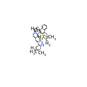 Cc1c2c(c(CC(C)(C)C)c3ccccc13)Sc1c3cnc(CC(C)(C)C)cc3cc3cc[n+](C)c-2c13